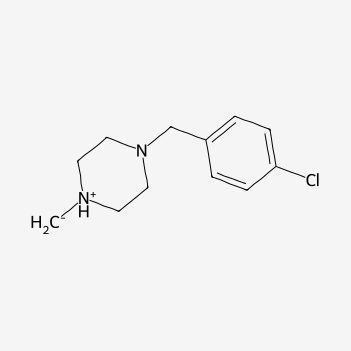 [CH2-][NH+]1CCN(Cc2ccc(Cl)cc2)CC1